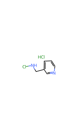 Cl.ClNCc1cccnc1